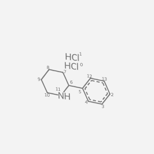 Cl.Cl.c1ccc(C2CCCCN2)cc1